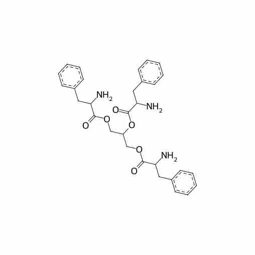 NC(Cc1ccccc1)C(=O)OCC(COC(=O)C(N)Cc1ccccc1)OC(=O)C(N)Cc1ccccc1